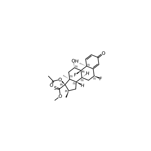 COC(=S)[C@@]1(OC(C)=O)[C@H](C)C[C@H]2[C@@H]3C[C@H](F)C4=CC(=O)C=C[C@]4(C)[C@@]3(F)[C@@H](O)C[C@@]21C